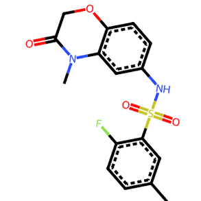 Cc1ccc(F)c(S(=O)(=O)Nc2ccc3c(c2)N(C)C(=O)CO3)c1